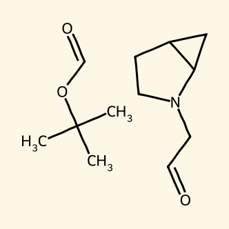 CC(C)(C)OC=O.O=CCN1CCC2CC21